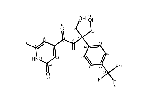 Cc1nc(C(=O)NC(CO)(CO)c2ccc(C(F)(F)F)cc2)cc(=O)[nH]1